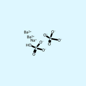 O=P([O-])([O-])O.O=P([O-])([O-])[O-].[Ba+2].[Ba+2].[Na+]